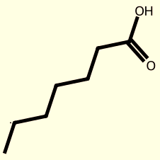 C[CH]CCCCC(=O)O